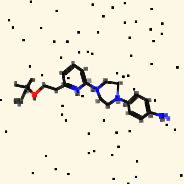 CC(C)(C)[Si](C)(C)OCCc1cccc(N2CCN(c3ccc(N)cc3)CC2)n1